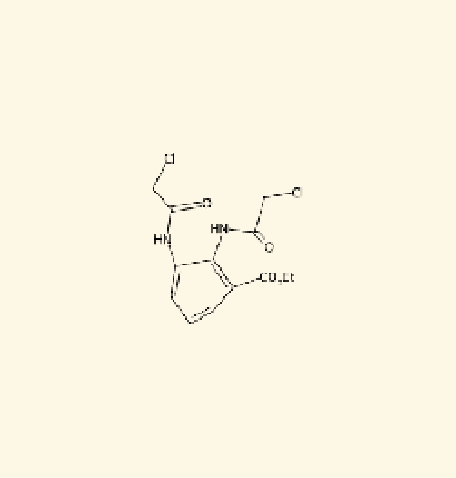 CCOC(=O)c1cccc(NC(=O)CCl)c1NC(=O)CCl